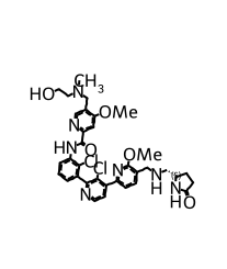 COc1cc(C(=O)Nc2cccc(-c3nccc(-c4ccc(CNC[C@@H]5CCC(=O)N5)c(OC)n4)c3Cl)c2Cl)ncc1CN(C)CCO